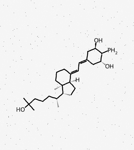 C[C@H](CCCC(C)(C)O)[C@H]1CC[C@@H]2/C(=C/C=C3C[C@@H](O)C(P)[C@H](O)C3)CCC[C@@]21C